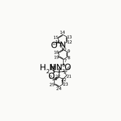 NC(=O)C1(NC(=O)c2ccc(-n3ccccc3=O)cc2)[CH]Cc2ccccc21